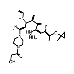 C=CN[C@H](/C=C(\N)N1CCN(C(=O)CO)CC1)C(=C)C(=C)/C(=C\C(F)=C(/C)OC1(C)CC1)NN